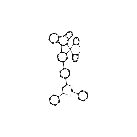 NC(/C=C(\N=C\c1ccccc1)c1ccc(-c2ccc3c(c2)C2(c4ccccc4Oc4ccccc42)c2c-3c3ccccc3c3ccccc23)cc1)c1ccccc1